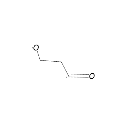 [O]CC[C]=O